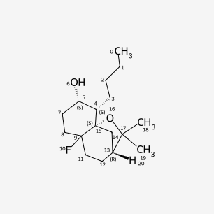 CCCC[C@H]1[C@@H](O)CCC2(F)CC[C@@H]3C[C@]12OC3(C)C